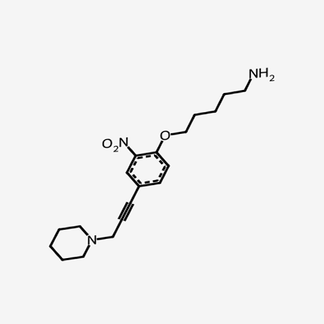 NCCCCCOc1ccc(C#CCN2CCCCC2)cc1[N+](=O)[O-]